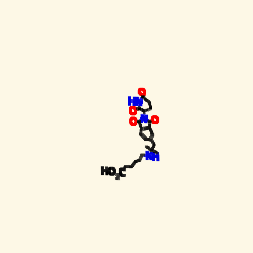 CC(C)(Cc1ccc2c(c1)C(=O)N(C1CCC(=O)NC1=O)C2=O)NCCCCCC(=O)O